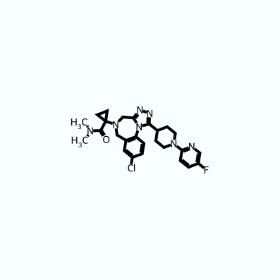 CN(C)C(=O)C1(N2Cc3cc(Cl)ccc3-n3c(nnc3C3CCN(c4ccc(F)cn4)CC3)C2)CC1